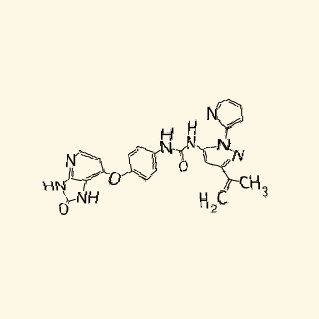 C=C(C)c1cc(NC(=O)Nc2ccc(Oc3ccnc4[nH]c(=O)[nH]c34)cc2)n(-c2ccccn2)n1